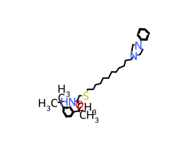 CC(C)c1cccc(C(C)C)c1NC(=O)CSCCCCCCCCCCCCN1CCN(c2ccccc2)CC1